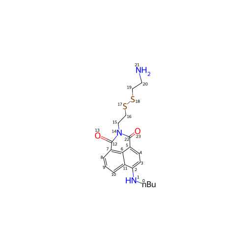 CCCCNc1ccc2c3c(cccc13)C(=O)N(CCSSCCN)C2=O